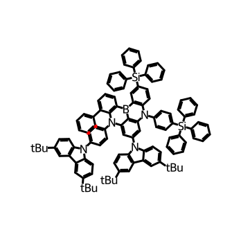 CC(C)(C)c1ccc2c(c1)c1cc(C(C)(C)C)ccc1n2-c1ccc(N2c3cc(-n4c5ccc(C(C)(C)C)cc5c5cc(C(C)(C)C)ccc54)cc4c3B(c3cc([Si](c5ccccc5)(c5ccccc5)c5ccccc5)ccc3N4c3ccc([Si](c4ccccc4)(c4ccccc4)c4ccccc4)cc3)c3cccc(-c4ccccc4)c32)cc1